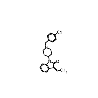 C/C=C1\C(=O)N(C2CCN(Cc3ccc(C#N)cc3)CC2)c2ccccc21